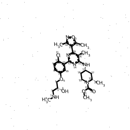 CNC[C@@H](O)COc1ccc(Cl)c(-c2nc(N[C@H]3CCN(C(=O)OC)[C@@H](C)C3)c(C)c(-c3c(C)noc3C)n2)c1